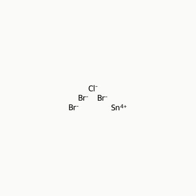 [Br-].[Br-].[Br-].[Cl-].[Sn+4]